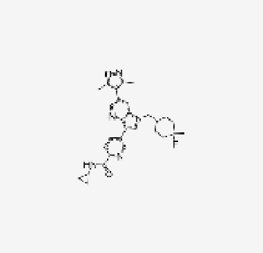 Cc1noc(C)c1-c1cnc2c(-c3ccc(C(=O)NC4CC4)nc3)cn(CC3CCC(C)(F)CC3)c2c1